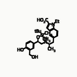 CCn1c(C(=O)O)cc2cc(C[C@@H](C)NC[C@H](O[Si](C)(C)C(C)(C)C)c3ccc(O)c(CO)c3)ccc21